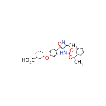 Cc1noc(-c2ccc(O[C@@H]3CCC[C@H](C(=O)O)C3)cc2)c1NC(=O)O[C@H](C)c1ccccc1